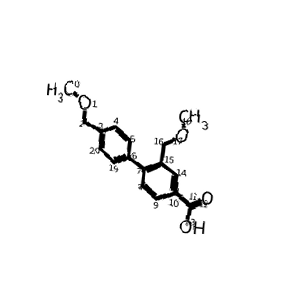 COCc1ccc(-c2ccc(C(=O)O)cc2COC)cc1